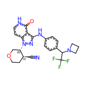 N#C[C@H]1CCOC[C@@H]1n1nc(Nc2ccc(C(N3CCC3)C(F)(F)F)cc2)c2c(=O)[nH]ccc21